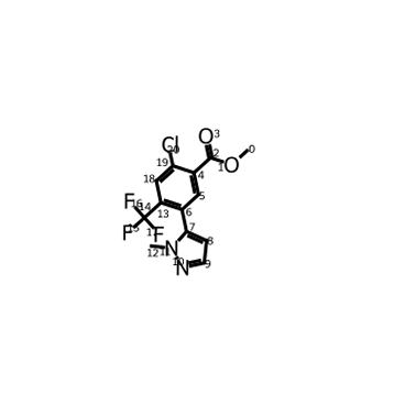 COC(=O)c1cc(-c2ccnn2C)c(C(F)(F)F)cc1Cl